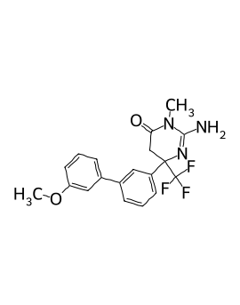 COc1cccc(-c2cccc(C3(C(F)(F)F)CC(=O)N(C)C(N)=N3)c2)c1